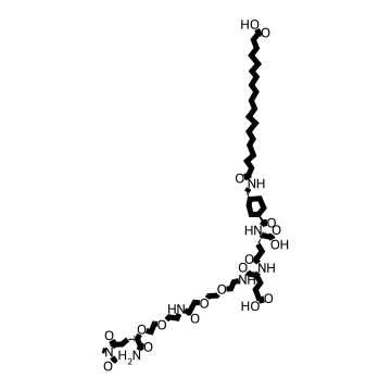 CN(C=O)C(=O)CC[C@H](OCCOCCNC(=O)COCCOCCNC(=O)C(CCC(=O)O)NC(=O)CC[C@H](NC(=O)[C@H]1CC[C@H](CNC(=O)CCCCCCCCCCCCCCCCCCC(=O)O)CC1)C(=O)O)C(N)=O